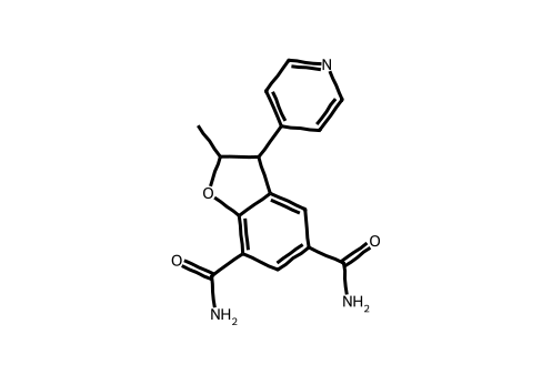 CC1Oc2c(C(N)=O)cc(C(N)=O)cc2C1c1ccncc1